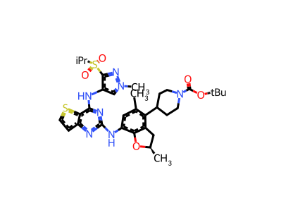 Cc1cc(Nc2nc(Nc3cn(C)nc3S(=O)(=O)C(C)C)c3sccc3n2)c2c(c1C1CCN(C(=O)OC(C)(C)C)CC1)C[C@@H](C)O2